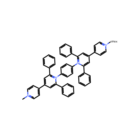 CCCCCC[n+]1ccc(-c2cc(-c3ccccc3)[n+](-c3ccc(-[n+]4c(-c5ccccc5)cc(-c5cc[n+](C)cc5)cc4-c4ccccc4)cc3)c(-c3ccccc3)c2)cc1